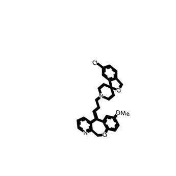 COc1ccc2c(c1)C(=CCCN1CCC3(CC1)OCc1ccc(Cl)cc13)c1cccnc1CO2